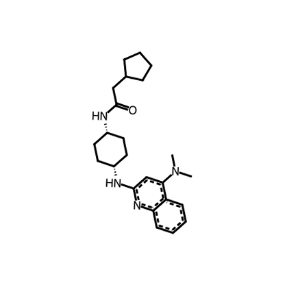 CN(C)c1cc(N[C@H]2CC[C@@H](NC(=O)CC3CCCC3)CC2)nc2ccccc12